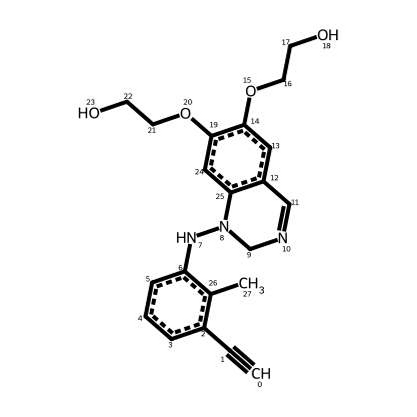 C#Cc1cccc(NN2CN=Cc3cc(OCCO)c(OCCO)cc32)c1C